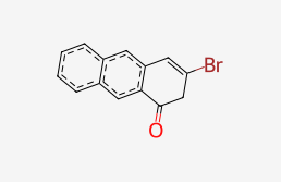 O=C1CC(Br)=Cc2cc3ccccc3cc21